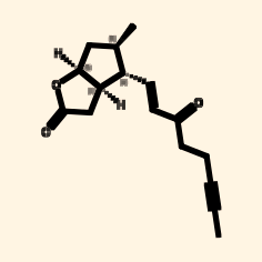 CC#CCCC(=O)C=C[C@@H]1[C@H]2CC(=O)O[C@H]2C[C@H]1C